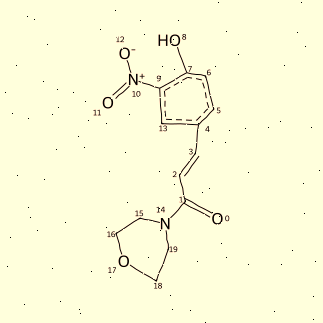 O=C(/C=C/c1ccc(O)c([N+](=O)[O-])c1)N1CCOCC1